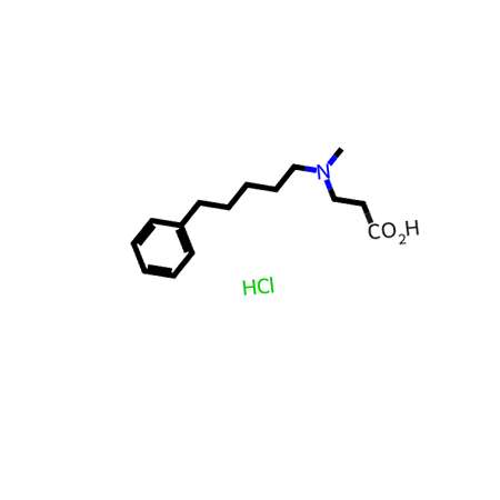 CN(CCCCCc1ccccc1)CCC(=O)O.Cl